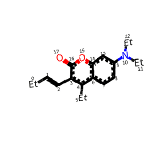 CC/C=C/c1c(CC)c2ccc(N(CC)CC)cc2oc1=O